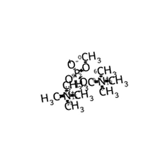 COP(=O)([O-])[O-].C[N+](C)(C)C.C[N+](C)(C)C